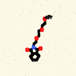 CCCOCCOCCOCCN1C(=O)c2ccccc2C1=O